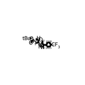 CC(C)(C)OC(=O)N1CC2[C@H](C1)OCc1c(-c3ccc(C(F)(F)F)cc3)nnn12